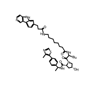 Cc1ncsc1-c1ccc(C(C)NC(=O)[C@@H]2C[C@@H](O)CN2C(=O)C(NC(=O)CCCCCCCNC(=O)CCc2ccc3c(c2)[nH]c2ccncc23)C(C)(C)C)cc1